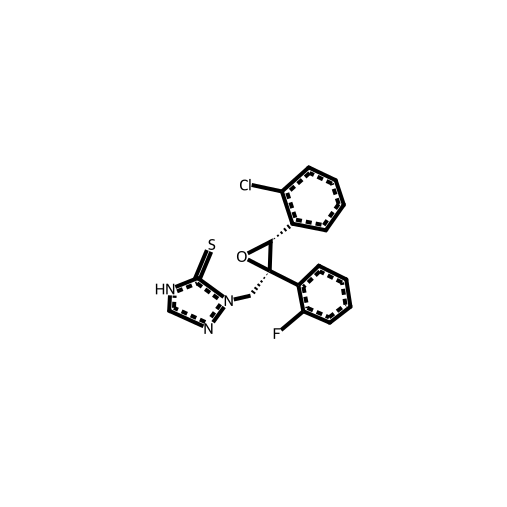 Fc1ccccc1[C@@]1(Cn2nc[nH]c2=S)O[C@@H]1c1ccccc1Cl